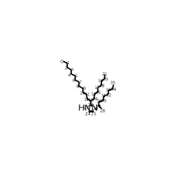 CCCCCCCCCCCCCC(CCCCCCCC)c1[nH]cc[n+]1C(C)CCCCCCC